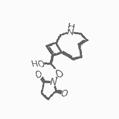 O=C1CCC(=O)N1OC(O)C1=CC2CNC/C=C/C/C=C/12